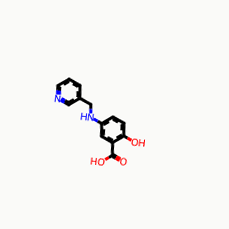 O=C(O)c1cc(NCc2cccnc2)ccc1O